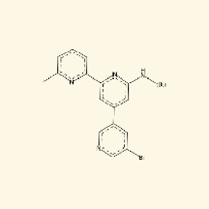 Cc1cccc(-c2cc(-c3cncc(Br)c3)cc(NC(C)(C)C)n2)n1